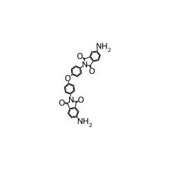 Nc1ccc2c(c1)C(=O)N(c1ccc(Oc3ccc(N4C(=O)c5ccc(N)cc5C4=O)cc3)cc1)C2=O